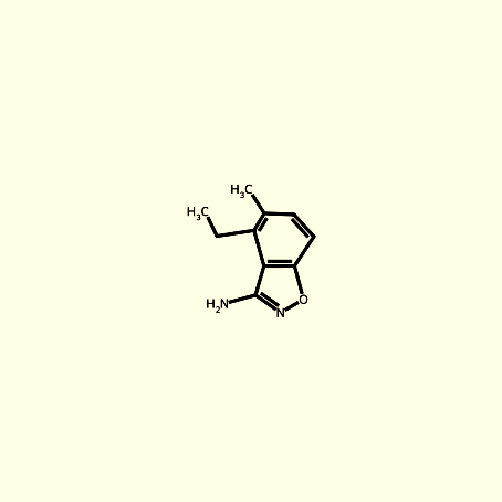 CCc1c(C)ccc2onc(N)c12